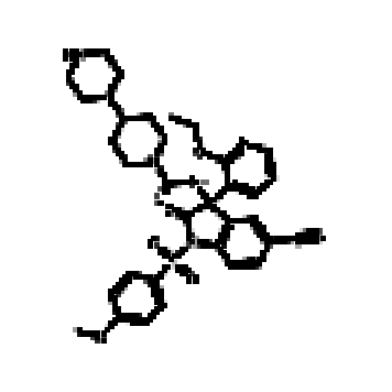 CCOc1ncccc1C1(NC(=O)N2CCC(N3CCNCC3)CC2)C(=O)N(S(=O)(=O)c2ccc(OC)cc2)c2ccc(C#N)cc21